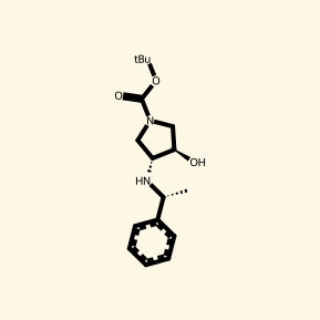 C[C@@H](N[C@@H]1CN(C(=O)OC(C)(C)C)C[C@H]1O)c1ccccc1